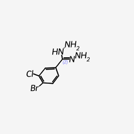 N/N=C(\NN)c1ccc(Br)c(Cl)c1